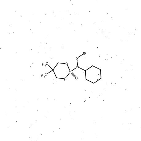 CC1(C)COP(=O)(N(SBr)C2CCCCC2)OC1